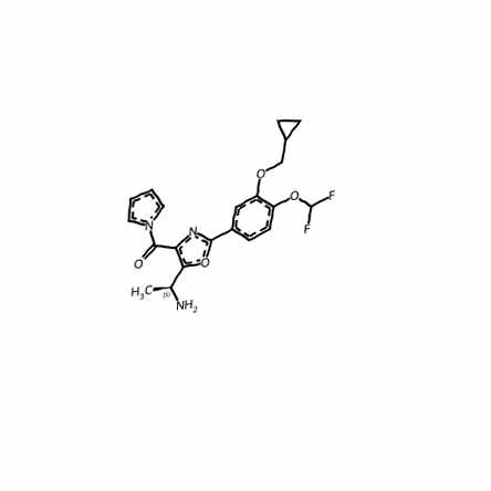 C[C@H](N)c1oc(-c2ccc(OC(F)F)c(OCC3CC3)c2)nc1C(=O)n1cccc1